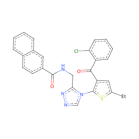 CCc1cc(C(=O)c2ccccc2Cl)c(-n2cnnc2CNC(=O)c2ccc3ccccc3c2)s1